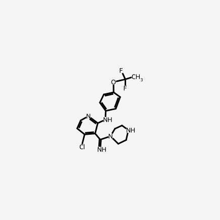 CC(F)(F)Oc1ccc(Nc2nccc(Cl)c2C(=N)N2CCNCC2)cc1